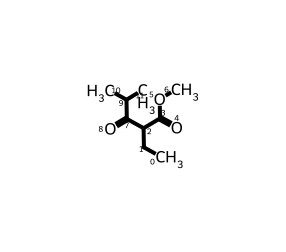 CCC(C(=O)OC)C(=O)C(C)C